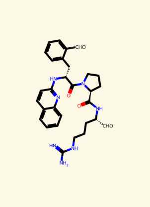 N=C(N)NCCC[C@@H](C=O)NC(=O)[C@@H]1CCCN1C(=O)[C@@H](Cc1ccccc1C=O)Nc1ccc2ccccc2n1